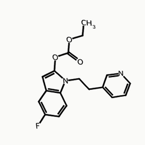 CCOC(=O)Oc1cc2cc(F)ccc2n1CCc1cccnc1